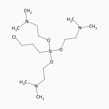 CN(C)CCO[Si](CCCCl)(OCCN(C)C)OCCN(C)C